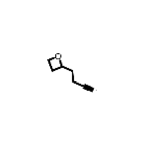 [C]#CCCC1CCO1